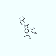 CC(C)(C)OC(=O)CC1CN(C(=O)OC(C)(C)C)CCC12CN(c1ccc3c(c1)OCCO3)C(=O)O2